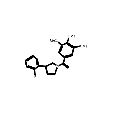 COc1cc(C(=O)N2CCC(c3ccccc3F)C2)cc(OC)c1OC